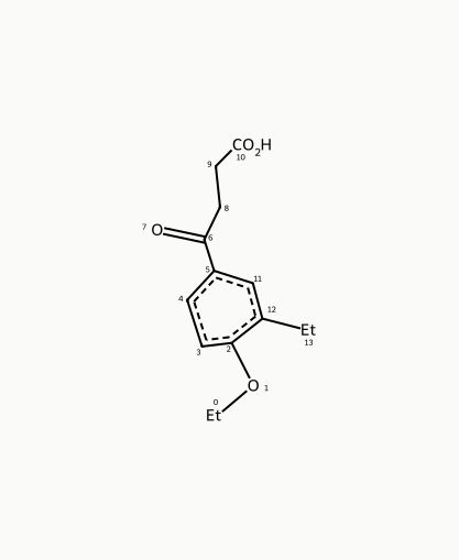 CCOc1ccc(C(=O)CCC(=O)O)cc1CC